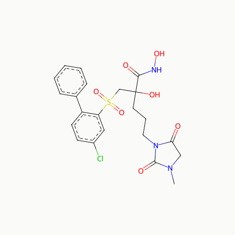 CN1CC(=O)N(CCCC(O)(CS(=O)(=O)c2cc(Cl)ccc2-c2ccccc2)C(=O)NO)C1=O